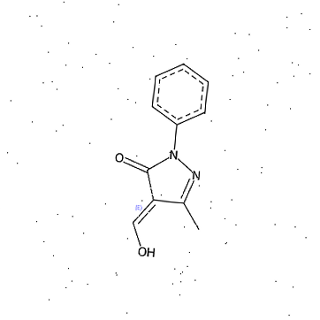 CC1=NN(c2ccccc2)C(=O)/C1=C/O